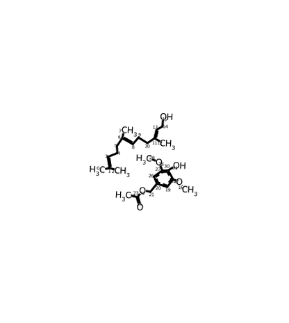 CC(C)=CCCC(C)=CCCC(C)=CCO.COc1cc(COC(C)=O)cc(OC)c1O